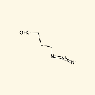 [N-]=[N+]=NCCC[C]=O